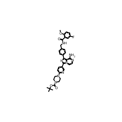 COc1ccc(F)cc1C(=O)NCc1ccc(-c2nc(-c3ccc(N4CCN(C(=O)OC(C)(C)C)CC4)nc3)n3ccnc(N)c23)cc1